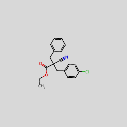 CCOC(=O)C(C#N)(Cc1ccccc1)Cc1ccc(Cl)cc1